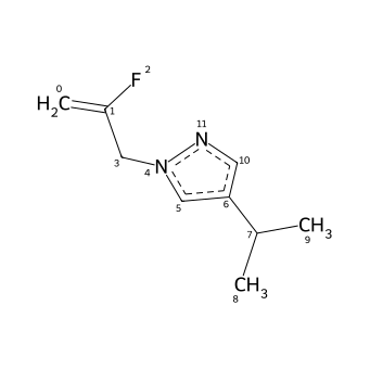 C=C(F)Cn1cc(C(C)C)cn1